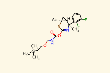 CC(=O)[C@]12C[C@H]1[C@@](C)(c1cccc(F)c1F)N=C(OC(=O)NCOCC[Si](C)(C)C)S2